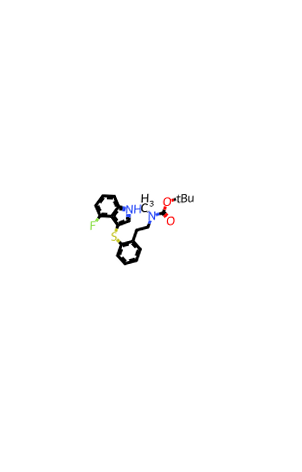 CN(CCc1ccccc1Sc1c[nH]c2cccc(F)c12)C(=O)OC(C)(C)C